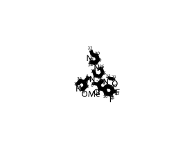 COc1cc(CN(Cc2cn3c4c(c(F)c(F)cc4c2=O)OCC3)[C@H]2CCCN(c3ccc(C)nc3)C2)ccn1